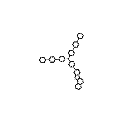 c1ccc(-c2ccc(-c3ccc(C(c4ccc(-c5ccc(-c6ccccc6)cc5)cc4)c4ccc(-c5ccc6c(c5)oc5c7ccccc7ccc65)cc4)cc3)cc2)cc1